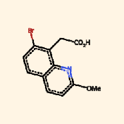 COc1ccc2ccc(Br)c(CC(=O)O)c2n1